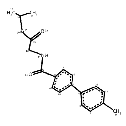 Cc1ccc(-c2ccc(C(=O)NCC(=O)NC(C)C)cc2)cc1